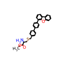 COC(=O)C(N)CSCc1ccc(-c2ccc(-c3cccc4c3oc3ccccc34)cc2)cc1